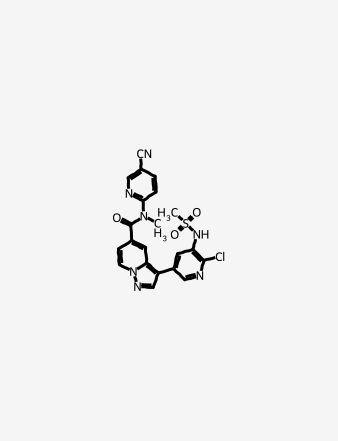 CN(C(=O)c1ccn2ncc(-c3cnc(Cl)c(NS(C)(=O)=O)c3)c2c1)c1ccc(C#N)cn1